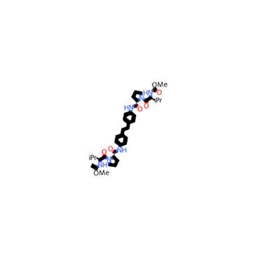 C=C(N[C@H](C(=O)N1CCC[C@H]1C(=O)Nc1ccc(CCc2ccc(NC(=O)[C@@H]3CCCN3C(=O)[C@@H](NC(=O)OC)C(C)C)cc2)cc1)C(C)C)OC